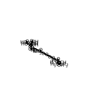 CC1(C)CC(C(=O)NCCOCCOCCOCCOCCC(=O)NCCCc2cn([C@@H]3O[C@H](COP(=O)(O)O)C(OP(=O)(O)O)C3O)c(=O)nc2N)C(C)(C)N1O